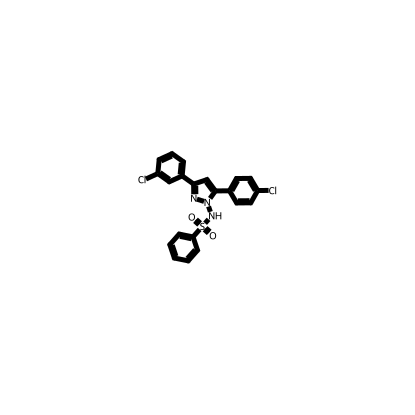 O=S(=O)(Nn1nc(-c2cccc(Cl)c2)cc1-c1ccc(Cl)cc1)c1ccccc1